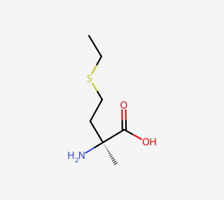 CCSCC[C@](C)(N)C(=O)O